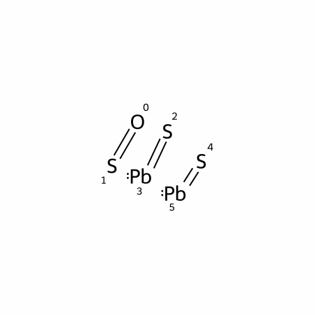 O=S.[S]=[Pb].[S]=[Pb]